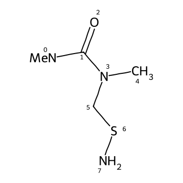 CNC(=O)N(C)CSN